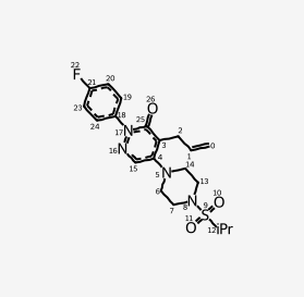 C=CCc1c(N2CCN(S(=O)(=O)C(C)C)CC2)cnn(-c2ccc(F)cc2)c1=O